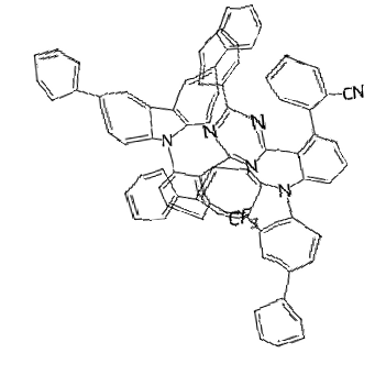 N#Cc1ccccc1-c1cccc(-n2c3ccc(-c4ccccc4)cc3c3cc(-c4ccccc4)ccc32)c1-c1nc(-c2ccccc2)nc(-c2c(-n3c4ccc(-c5ccccc5)cc4c4cc(-c5ccccc5)ccc43)cccc2C(F)(F)F)n1